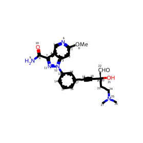 COc1cc2c(cn1)c(C(N)=O)nn2-c1cccc(C#C[C@@](O)(C=O)CCN(C)C)c1